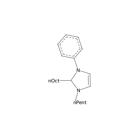 CCCCCCCCC1N(CCCCC)C=CN1c1ccccc1